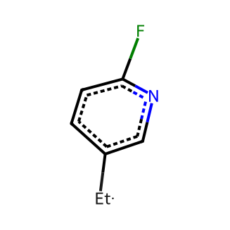 C[CH]c1ccc(F)nc1